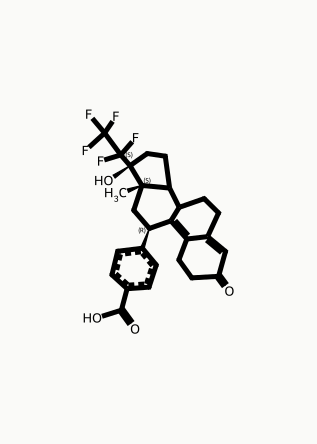 C[C@]12C[C@H](c3ccc(C(=O)O)cc3)C3=C4CCC(=O)C=C4CCC3C1CC[C@@]2(O)C(F)(F)C(F)(F)F